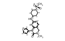 CN1Cc2cnc(NC3CCN(S(C)(=O)=O)CC3)nc2N(c2ccoc2)C1=O